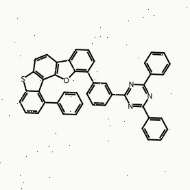 c1ccc(-c2nc(-c3ccccc3)nc(-c3cccc(-c4cccc5c4oc4c5ccc5sc6cccc(-c7ccccc7)c6c54)c3)n2)cc1